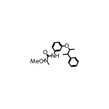 CON(C)C(=O)Nc1cccc(OC(C)C(C)c2ccccc2)c1